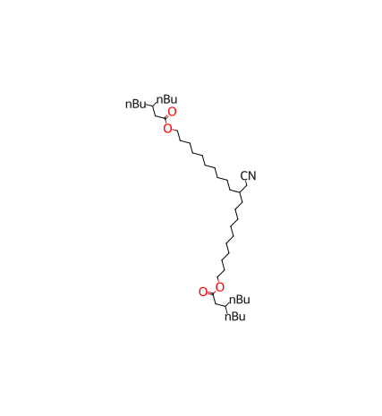 CCCCC(CCCC)CC(=O)OCCCCCCCCCCC(CC#N)CCCCCCCCCCOC(=O)CC(CCCC)CCCC